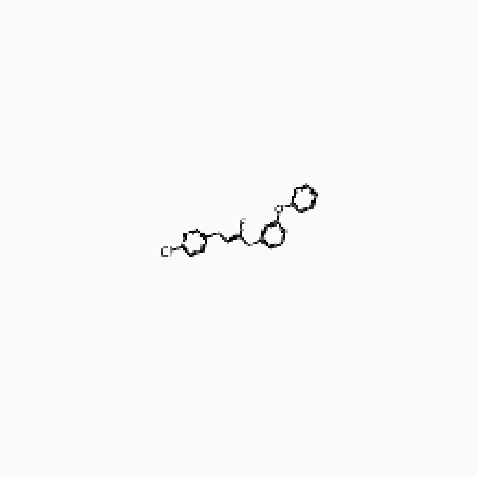 FC(=CCc1ccc(Cl)cc1)Cc1cccc(Oc2ccccc2)c1